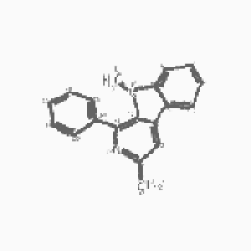 [CH2]c1cc2c3ccccc3n(C)c2c(-c2ccccc2)n1